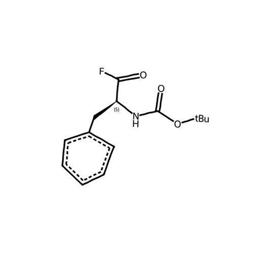 CC(C)(C)OC(=O)N[C@@H](Cc1ccccc1)C(=O)F